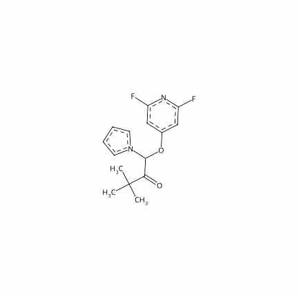 CC(C)(C)C(=O)C(Oc1cc(F)nc(F)c1)n1cccc1